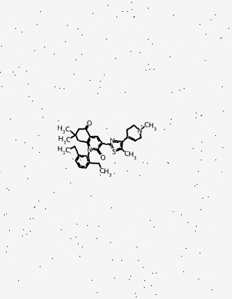 CCc1cccc(CC)c1-n1c2c(cc(-c3nc(C4=CCN(C)CC4)c(C)s3)c1=O)C(=O)CC(C)(C)C2